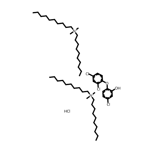 CCCCCCCCCC[N+](C)(C)CCCCCCCCCC.CCCCCCCCCC[N+](C)(C)CCCCCCCCCC.Cl.Oc1cc(Cl)ccc1Oc1ccc(Cl)cc1Cl